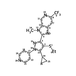 CCSc1c(-c2nc3cc(C(F)(F)F)ncc3n2C)nn(-c2ccncc2)c1C1CC1